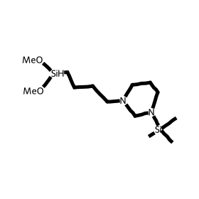 CO[SiH](CCCCN1CCCN([Si](C)(C)C)C1)OC